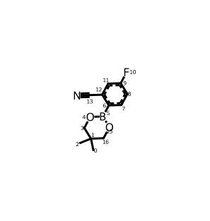 CC1(C)COB(c2ccc(F)cc2C#N)OC1